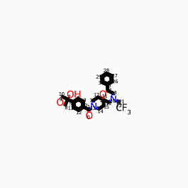 O=C(c1ccc(C2(O)COC2)cc1)N1CCC2(CC1)CN(CC(F)(F)F)CC(c1ccccc1)O2